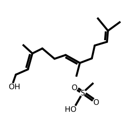 CC(C)=CCCC(C)=CCCC(C)=CCO.CS(=O)(=O)O